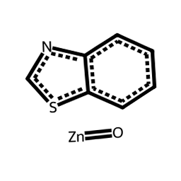 [O]=[Zn].c1ccc2scnc2c1